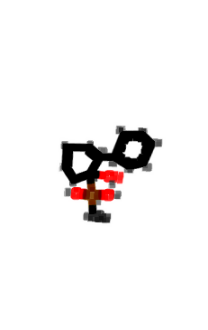 CCCCS(=O)(=O)C1(O)CC=CC=C1c1ccccc1